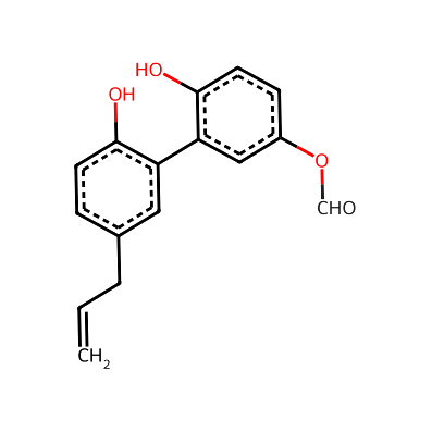 C=CCc1ccc(O)c(-c2cc(OC=O)ccc2O)c1